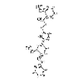 CCOc1cc(-c2nc(CCC(=O)c3ccccc3OCC)co2)ccc1OCc1ccccc1